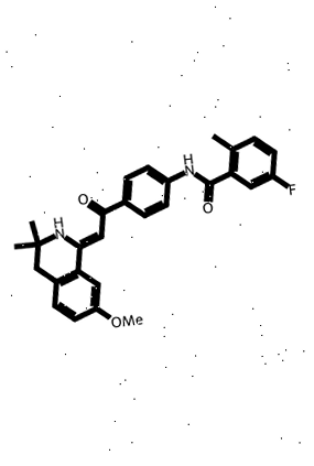 COc1ccc2c(c1)C(=CC(=O)c1ccc(NC(=O)c3cc(F)ccc3C)cc1)NC(C)(C)C2